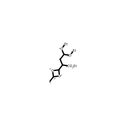 CCOC(=O)C(CC(OCC)OCC)C1OC(C)O1